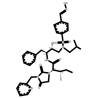 CC[C@H](C)[C@@H](C(=O)N[C@@H](Cc1ccccc1)[C@H](O)CN(CC(C)C)S(=O)(=O)c1ccc(C=NO)cc1)N1CC(=O)N(Cc2ccccn2)C1=O